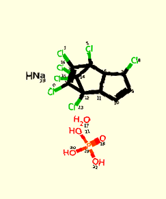 ClC1=C(Cl)C2(Cl)C3C(Cl)C=CC3C1(Cl)C2(Cl)Cl.O.O=P(O)(O)O.[NaH]